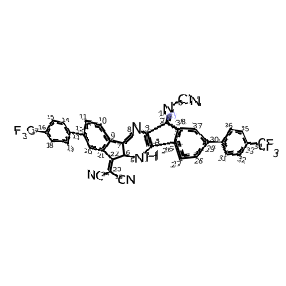 N#C/N=C1/C2=C(NC3C(=N2)c2ccc(-c4ccc(C(F)(F)F)cc4)cc2C3=C(C#N)C#N)c2ccc(-c3ccc(C(F)(F)F)cc3)cc21